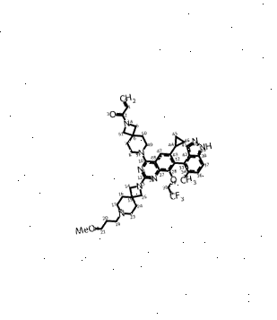 C=CC(=O)N1CC2(CCN(c3nc(N4CC5(CCN(CCCOC)CC5)C4)nc4c(OCC(F)(F)F)c(-c5c(C)ccc6[nH]ncc56)c(C5CC5)cc34)CC2)C1